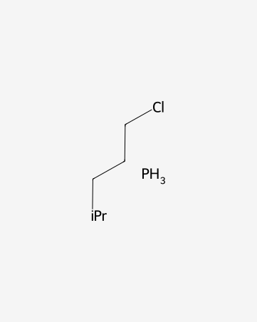 CC(C)CCCCl.P